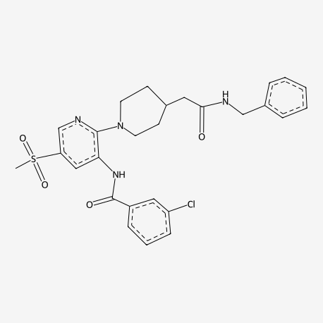 CS(=O)(=O)c1cnc(N2CCC(CC(=O)NCc3ccccc3)CC2)c(NC(=O)c2cccc(Cl)c2)c1